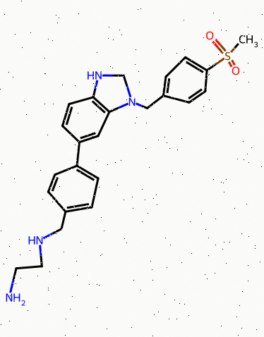 CS(=O)(=O)c1ccc(CN2CNc3ccc(-c4ccc(CNCCN)cc4)cc32)cc1